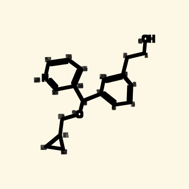 OCCc1cccc(C(OCC2CC2)c2cccnc2)c1